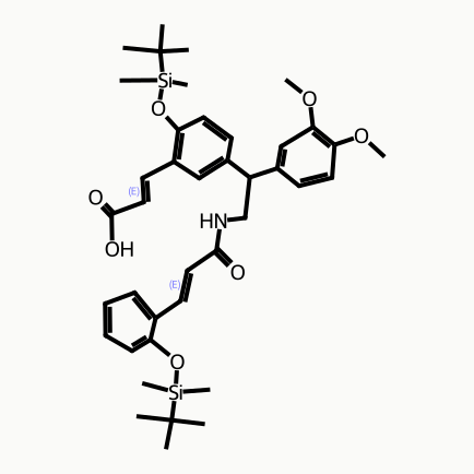 COc1ccc(C(CNC(=O)/C=C/c2ccccc2O[Si](C)(C)C(C)(C)C)c2ccc(O[Si](C)(C)C(C)(C)C)c(/C=C/C(=O)O)c2)cc1OC